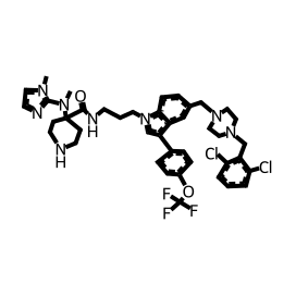 CN(c1nccn1C)C1(C(=O)NCCCn2cc(-c3ccc(OC(F)(F)F)cc3)c3cc(CN4CCN(Cc5c(Cl)cccc5Cl)CC4)ccc32)CCNCC1